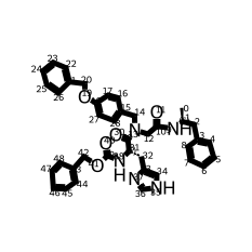 C[C@@H](Cc1ccccc1)NC(=O)CN(Cc1ccc(OCc2ccccc2)cc1)C(=O)[C@H](Cc1c[nH]cn1)NC(=O)OCc1ccccc1